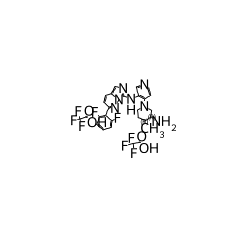 C[C@@H]1CCN(c2ccncc2Nc2ncc3ccc(-c4c(F)cccc4F)nn23)C[C@@H]1N.O=C(O)C(F)(F)F.O=C(O)C(F)(F)F